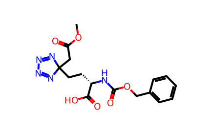 COC(=O)CC1(CC[C@H](NC(=O)OCc2ccccc2)C(=O)O)N=NN=N1